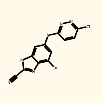 N#Cc1nc2c(Br)cc(Sc3ccc(Cl)nn3)cc2[nH]1